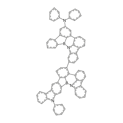 c1ccc(N(c2ccccc2)c2cc3c4c(c2)-c2cccc5c6ccc(-c7ccc8c9c7-c7cccc%10c%11ccccc%11n(c7%10)B9c7cc9c(cc7-8)c7ccccc7n9-c7ccccc7)cc6n(c25)B4c2ccccc2-3)cc1